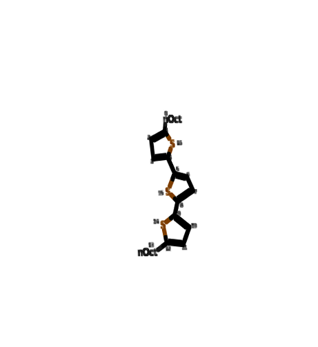 CCCCCCCCc1ccc(-c2ccc(-c3ccc(CCCCCCCC)s3)s2)s1